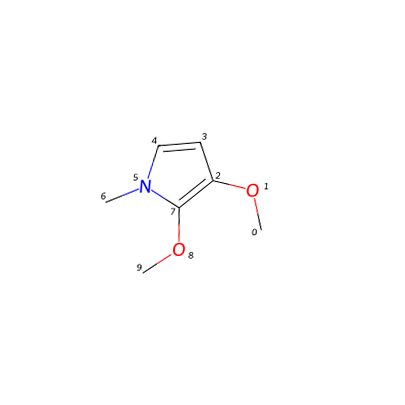 COc1ccn(C)c1OC